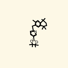 Cc1cc2c(cc1Cc1ccc(B3OC(C)(C)C(C)(C)O3)cn1)C(C)(C)CCC2(C)C